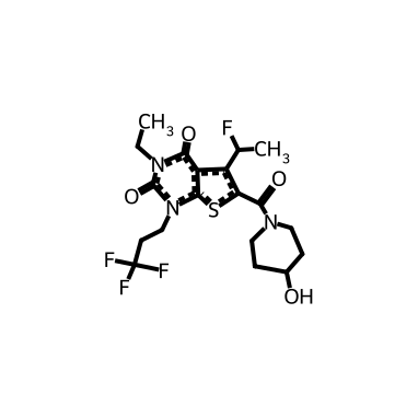 CCn1c(=O)c2c(C(C)F)c(C(=O)N3CCC(O)CC3)sc2n(CCC(F)(F)F)c1=O